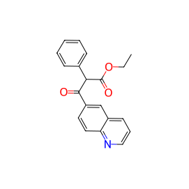 CCOC(=O)C(C(=O)c1ccc2ncccc2c1)c1ccccc1